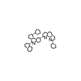 c1ccc(-c2ccc3ccc4ccc(-c5ccc6nc(-c7cccc8ccccc78)c7cccc(-c8ccccc8)c7c6c5)nc4c3n2)cc1